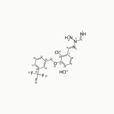 Cl.N=CN(N)N=Cc1cccc(OCc2cccc(C(F)(F)F)c2)c1Cl